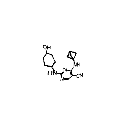 N#Cc1cnc(NC2CCC(O)CC2)nc1NC12CC(C1)C2